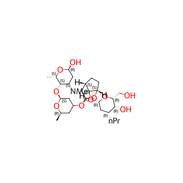 CCC[C@@H]1C[C@H](O[C@H]2[C@H]3CC[C@@H]2O[C@@H](OC2C[C@H](O[C@H]4[C@@H](NC)C[C@H](O)O[C@H]4C)O[C@H](C)C2)C3)O[C@H](CO)[C@@H]1O